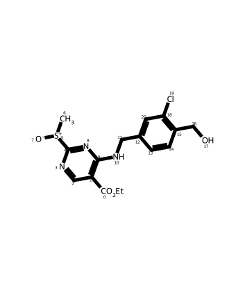 CCOC(=O)c1cnc([S+](C)[O-])nc1NCc1ccc(CO)c(Cl)c1